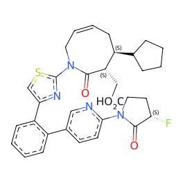 O=C(O)C[C@@H]1C(=O)N(c2nc(-c3ccccc3-c3ccc(N4CC[C@H](F)C4=O)nc3)cs2)CC=CC[C@H]1C1CCCC1